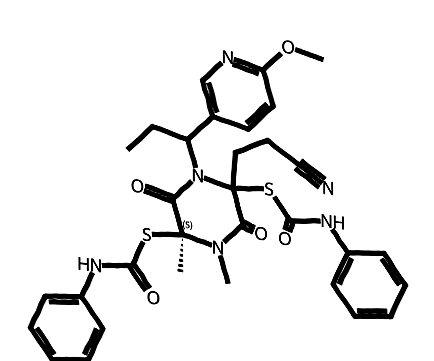 CCC(c1ccc(OC)nc1)N1C(=O)[C@](C)(SC(=O)Nc2ccccc2)N(C)C(=O)C1(CCC#N)SC(=O)Nc1ccccc1